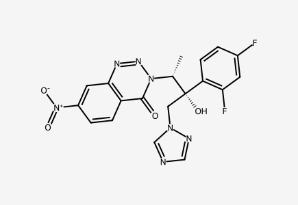 C[C@@H](n1nnc2cc([N+](=O)[O-])ccc2c1=O)[C@](O)(Cn1cncn1)c1ccc(F)cc1F